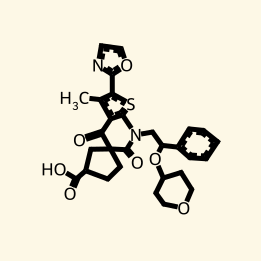 Cc1c(-c2ncco2)sc2c1C(=O)C1(CCC(C(=O)O)C1)C(=O)N2CC(OC1CCOCC1)c1ccccc1